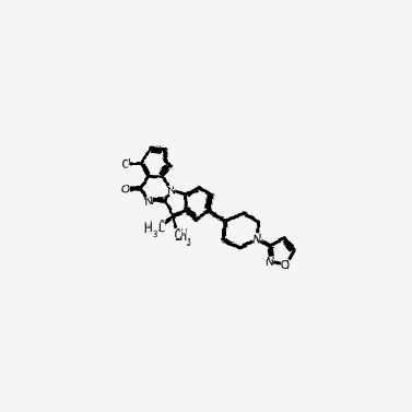 CC1(C)c2cc(C3CCN(c4ccon4)CC3)ccc2-n2c1nc(=O)c1c(Cl)cccc12